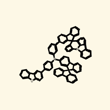 c1cc(-c2ccc3c(c2)C2(c4ccccc4-3)c3ccccc3-n3c4ccccc4c4cccc2c43)cc(N(c2ccc(-c3ccc4oc5ccccc5c4c3)cc2)c2ccc3c(c2)C2(c4ccccc4-c4ccccc42)c2ccccc2-3)c1